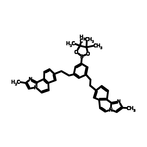 Cc1cn2ccc3cc(CCc4cc(CCc5ccc6c(ccn7cc(C)nc67)c5)cc(B5OC(C)(C)C(C)(C)O5)c4)ccc3c2n1